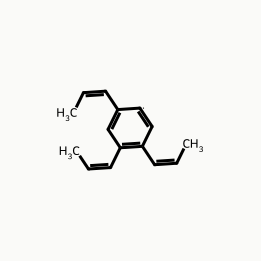 C/C=C\c1[c]cc(/C=C\C)c(/C=C\C)c1